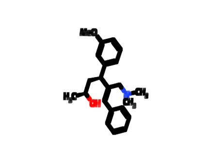 COc1cccc([C@H](C[C@H](C)O)/C(=C/c2ccccc2)CN(C)C)c1